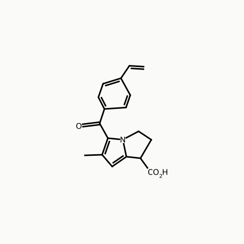 C=Cc1ccc(C(=O)c2c(C)cc3n2CCC3C(=O)O)cc1